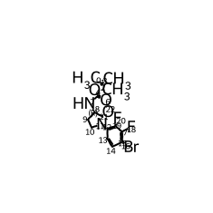 CC(C)(C)OC(=O)N[C@@H]1CCN(c2ccc(Br)c(F)c2F)C1=O